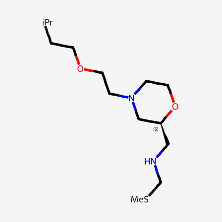 CSCNC[C@H]1CN(CCOCCC(C)C)CCO1